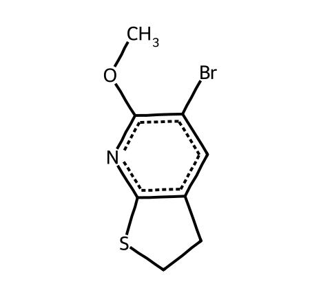 COc1nc2c(cc1Br)CCS2